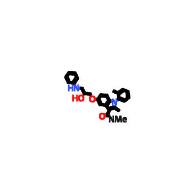 CNC(=O)c1c(C)n(-c2ccccc2C)c2ccc(OC[C@@H](O)CNc3ccccc3)cc12